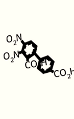 O=C(O)c1ccc(-c2ccc([N+](=O)[O-])c([N+](=O)[O-])c2C(=O)O)cc1